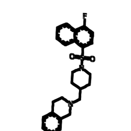 O=S(=O)(c1ccc(F)c2ccccc12)N1CCC(CN2CCc3ccccc3C2)CC1